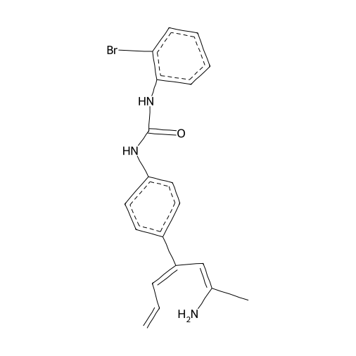 C=C/C=C(\C=C(\C)N)c1ccc(NC(=O)Nc2ccccc2Br)cc1